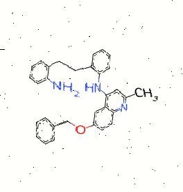 Cc1cc(Nc2ccccc2CCc2ccccc2N)c2cc(OCc3ccccc3)ccc2n1